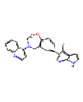 Cc1c(-c2ccc3c(c2)CN(c2ccnc4ccccc24)CCO3)cnc2[nH]ccc12